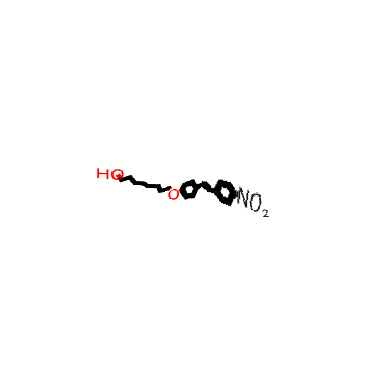 O=[N+]([O-])c1ccc(C=Cc2ccc(OCCCCCCCCO)cc2)cc1